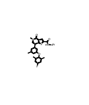 CCCNC(=O)c1cc2c(=O)n(C)cc(-c3cc(C)cc(Oc4c(C)cc(F)cc4C)c3)c2s1